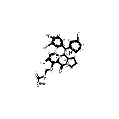 COC(=O)OCOc1c2n(ncc1=O)[C@@H](C(c1cccc(F)c1)c1ccc(F)c(F)c1)[C@H]1CCCN1C2=O